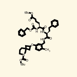 Cc1ccc(OC2CC3(CCCN(C(=O)OC(C)(C)C)C3)C2)cc1CNC(=O)[C@H](CCc1ccccc1)NC(=O)[C@H](CCCC(=O)OC(C)(C)C)NC(=O)OCc1ccccc1